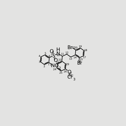 O=[N+]([O-])c1ccccc1S(=O)(=O)NC(CCc1c(Br)cccc1Br)c1cccc(OC(F)(F)F)c1